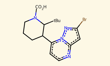 CC(C)(C)C1C(c2ccnc3cc(Br)nn23)CCCN1C(=O)O